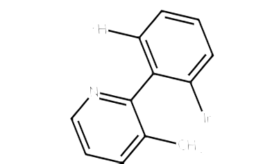 [2H]c1ccc[c]([Ir])c1-c1ncccc1C